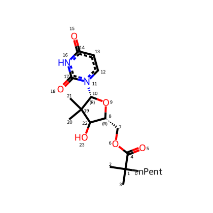 CCCCCC(C)(C)C(=O)OC[C@H]1O[C@@H](n2ccc(=O)[nH]c2=O)C(C)(C)C1O